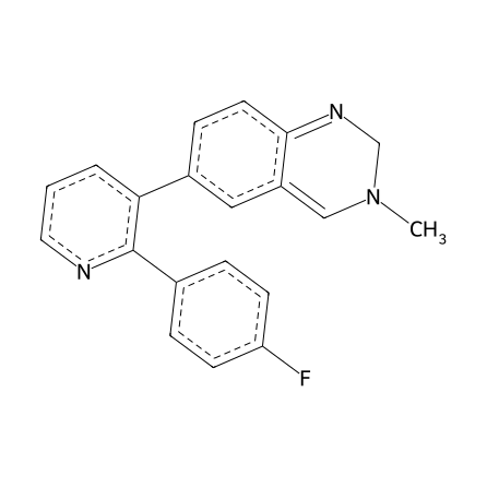 CN1C=c2cc(-c3cccnc3-c3ccc(F)cc3)ccc2=NC1